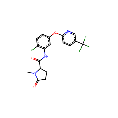 CN1C(=O)CCC1C(=O)Nc1cc(Oc2ccc(C(F)(F)F)cn2)ccc1F